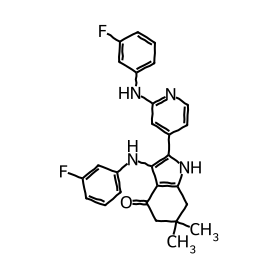 CC1(C)CC(=O)c2c([nH]c(-c3ccnc(Nc4cccc(F)c4)c3)c2Nc2cccc(F)c2)C1